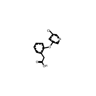 O=C(O)Cc1ccccc1Oc1cncc(Cl)c1